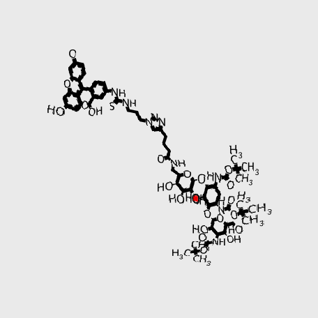 CC(C)(C)OC(=O)NC1C(O)[C@H](OC2[C@@H](NC(=O)OC(C)(C)C)CC(NC(=O)OC(C)(C)C)[C@@H](O[C@H]3OC(CNC(=O)CCCc4cn(CCCNC(=S)Nc5ccc(-c6c7ccc(=O)cc-7oc7cc(O)ccc67)c(C(=O)O)c5)nn4)[C@@H](O)[C@H](O)C3O)[C@@H]2O)OC(CO)[C@@H]1O